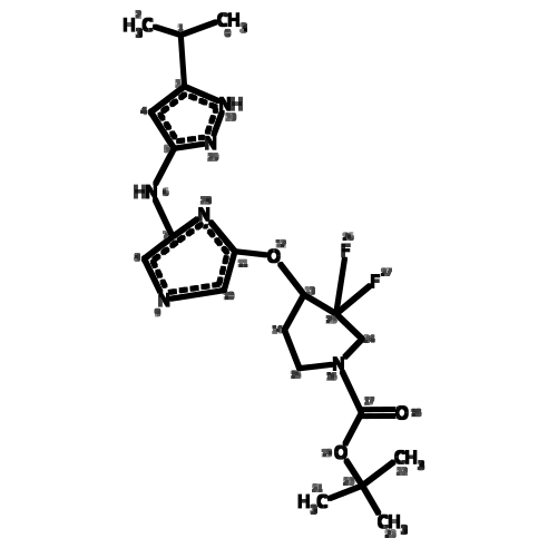 CC(C)c1cc(Nc2cncc(OC3CCN(C(=O)OC(C)(C)C)CC3(F)F)n2)n[nH]1